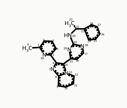 Cc1cccc(-c2nc3ccccn3c2-c2ccnc(N[C@@H](C)c3ccccc3)n2)n1